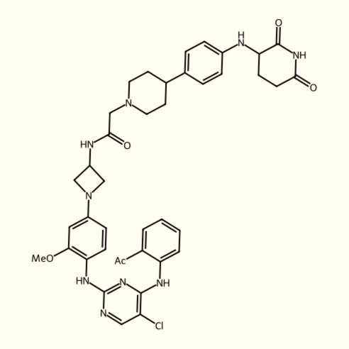 COc1cc(N2CC(NC(=O)CN3CCC(c4ccc(NC5CCC(=O)NC5=O)cc4)CC3)C2)ccc1Nc1ncc(Cl)c(Nc2ccccc2C(C)=O)n1